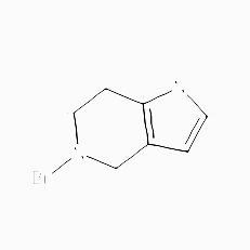 BrN1CCc2[nH]ccc2C1